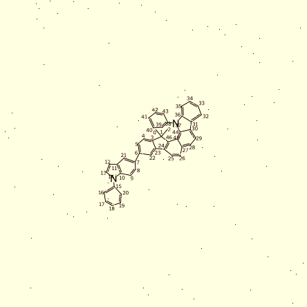 CC1(C)c2ccc(-c3ccc4c(ccn4-c4ccccc4)c3)cc2-c2ccc3ccc4c5ccccc5n(-c5ccccc5)c4c3c21